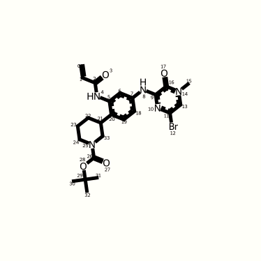 C=CC(=O)Nc1cc(Nc2nc(Br)cn(C)c2=O)ccc1C1CCCN(C(=O)OC(C)(C)C)C1